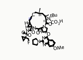 COc1ccc2c(O[C@@H]3C[C@H]4C(=O)N[C@]5(C(=O)NS(=O)(=O)C6(CF)CC6)C[C@H]5/C=C\CC[C@@H](C)C[C@@H](C)[C@H](N(C(=O)O)C(C)(C)C)C(=O)N4C3)nc(N3CCCC3)nc2c1